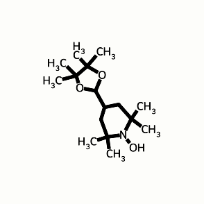 CC1(C)CC(C2OC(C)(C)C(C)(C)O2)CC(C)(C)N1O